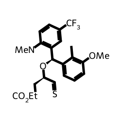 CCOC(=O)C[C@H](C=S)O[C@@H](c1cc(C(F)(F)F)ccc1NC)c1cccc(OC)c1C